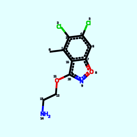 Cc1c(Cl)c(Cl)cc2onc(OCCN)c12